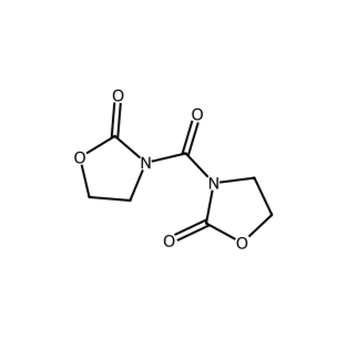 O=C1OCCN1C(=O)N1CCOC1=O